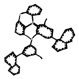 Cc1cc(-c2cccc3ccccc23)cc(N2c3cc(-c4cccc5ccccc45)cc(C)c3B3c4ccccc4Oc4cccc2c43)c1